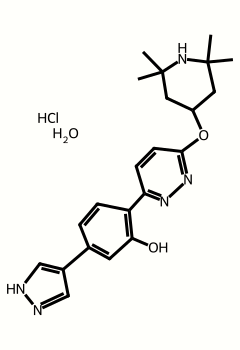 CC1(C)CC(Oc2ccc(-c3ccc(-c4cn[nH]c4)cc3O)nn2)CC(C)(C)N1.Cl.O